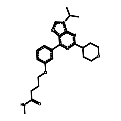 CNC(=O)CCCOc1cccc(-c2nc(N3CCOCC3)nc3c2ncn3C(C)C)c1